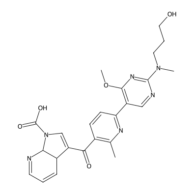 COc1nc(N(C)CCCO)ncc1-c1ccc(C(=O)C2=CN(C(=O)O)C3N=CC=CC23)c(C)n1